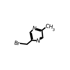 Cc1cnc(CBr)cn1